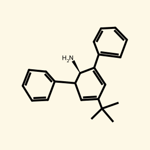 CC(C)(C)C1=CC(c2ccccc2)[C@@H](N)C(c2ccccc2)=C1